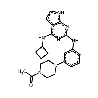 CC(=O)N1CCN(c2cccc(Nc3nc(NC4CCC4)c4cc[nH]c4n3)c2)CC1